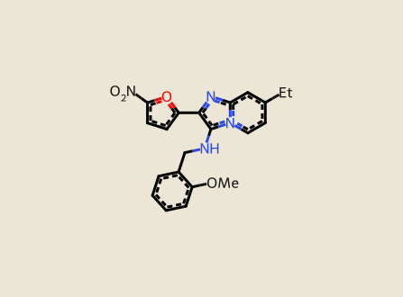 CCc1ccn2c(NCc3ccccc3OC)c(-c3ccc([N+](=O)[O-])o3)nc2c1